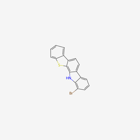 Brc1cccc2c1[nH]c1c2ccc2c3ccccc3sc21